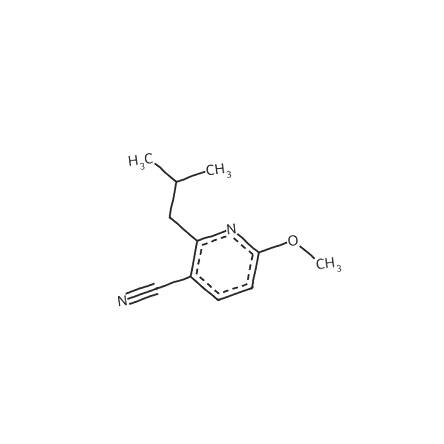 COc1ccc(C#N)c(CC(C)C)n1